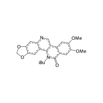 CCC(C)n1c(=O)c2cc(OC)c(OC)cc2c2cnc3cc4c(cc3c21)OCO4